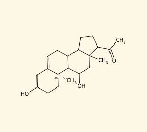 CC(=O)C1CCC2C3CC=C4CC(O)CC[C@]4(C)C3C(O)CC12C